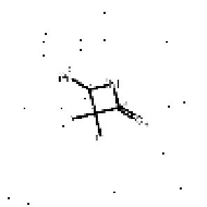 CC(C)C1NC(=O)C1(C)C